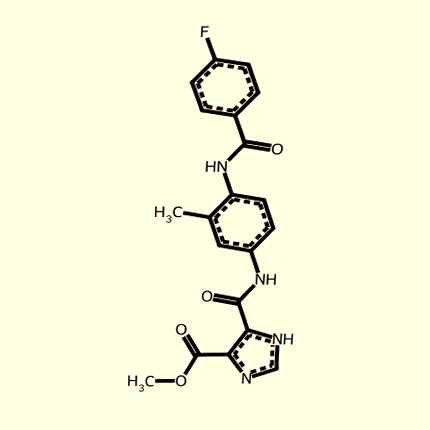 COC(=O)c1nc[nH]c1C(=O)Nc1ccc(NC(=O)c2ccc(F)cc2)c(C)c1